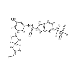 CCN1CCC2(CCN(c3cc(NC(=O)c4cc5cc(C(C)(C)S(C)(=O)=O)ccc5s4)cc(Cl)n3)C2)C1